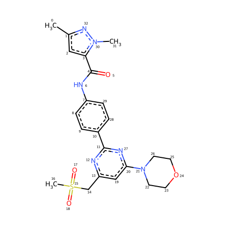 Cc1cc(C(=O)Nc2ccc(-c3nc(CS(C)(=O)=O)cc(N4CCOCC4)n3)cc2)n(C)n1